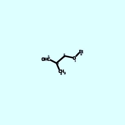 CCO[CH]C(C)C=O